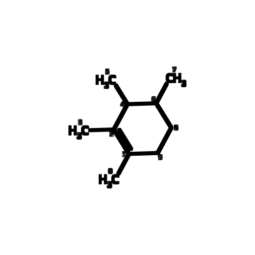 CC1=C(C)C(C)C(C)CC1